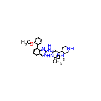 COc1ccccc1-c1cccc2cnc(N/C(=C/C(=N)C3CCNCC3)NC(C)C)nc12